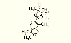 Cc1c(B2OC(C)(C)C(C)(C)O2)ccc2c1COC2(C)C